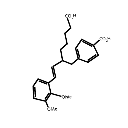 COc1cccc(/C=C/C(CCCCC(=O)O)Cc2ccc(C(=O)O)cc2)c1OC